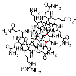 CC(=O)N[C@@H](CCC(N)=O)C(=O)N[C@@H](CCC(N)=O)C(=O)N[C@@H](CCCNC(=N)N)C(=O)N[C@@H](CCC(N)=O)C(=O)N[C@@H](CCCN)C(=O)N[C@@H](CCC(N)=O)C(=O)N[C@@H](CCCN)C(=O)N[C@@H](CCC(N)=O)C(=O)N[C@@H](CCC(=O)O)C(=O)N[C@@H](CCC(N)=O)C(=O)N[C@@H](CCC(N)=O)C(N)=O